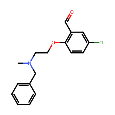 CN(CCOc1ccc(Cl)cc1C=O)Cc1ccccc1